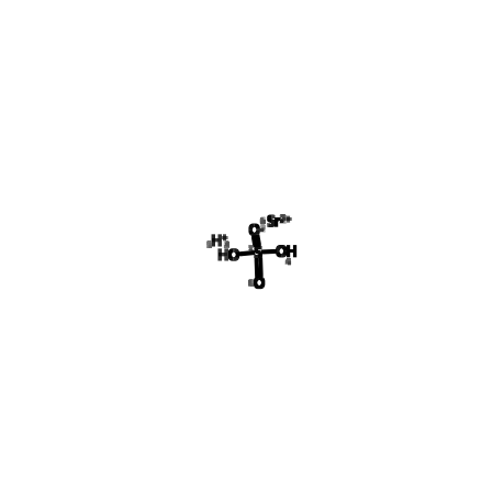 O=S(=O)(O)O.[H+].[Sr+2]